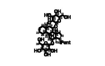 CCC[C@@H](C)[C@H]1CC[C@H]2C3C(O[C@@H]4OC(CO)[C@@H](O)[C@H](O)C4O)C[C@@H]4CCCC[C@]4(C)[C@H]3C[C@H](O[C@@H]3OC(CO)[C@@H](O)[C@H](O)C3O)[C@]12C